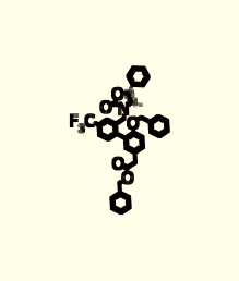 C[C@H]1[C@@H](c2ccccc2)OC(=O)N1Cc1cc(C(F)(F)F)ccc1-c1cc(CC(=O)OCc2ccccc2)ccc1OCc1ccccc1